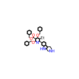 CCc1c(-c2ccc3c4c([nH]c3c2)CNCC4)nc(OCc2ccccc2)c(C(=O)OCc2ccccc2)c1OCc1ccccc1